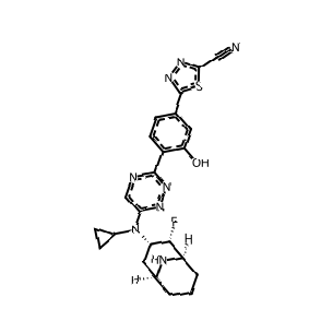 N#Cc1nnc(-c2ccc(-c3ncc(N(C4CC4)[C@H]4C[C@@H]5CCC[C@@H](N5)[C@H]4F)nn3)c(O)c2)s1